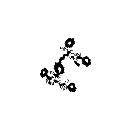 CCn1c(SC(C/C=C/c2ccc(C(F)(F)n3c(SCC(=O)Nc4ccccc4)nnc3-c3ccccc3)cc2)C(=O)Nc2ccccc2)nnc1-c1ccccc1